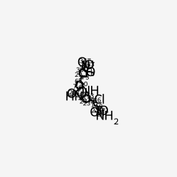 COc1cc(-c2ccc3c(c2)Nc2cc(C(Cl)CCS(N)(=O)=O)ccc2NC3=O)ccc1[N+](=O)[O-]